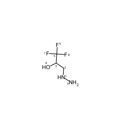 NNCC(O)C(F)(F)F